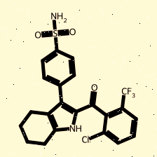 NS(=O)(=O)c1ccc(-c2c(C(=O)c3c(Cl)cccc3C(F)(F)F)[nH]c3c2CCCC3)cc1